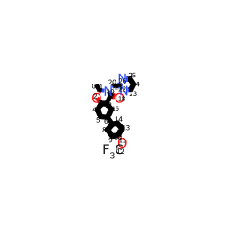 CC1Oc2ccc(-c3ccc(OC(F)(F)F)cc3)cc2C(=O)N1Cc1ncccn1